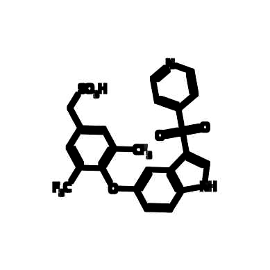 O=S(=O)(O)Cc1cc(C(F)(F)F)c(Oc2ccc3[nH]cc(S(=O)(=O)c4ccncc4)c3c2)c(C(F)(F)F)c1